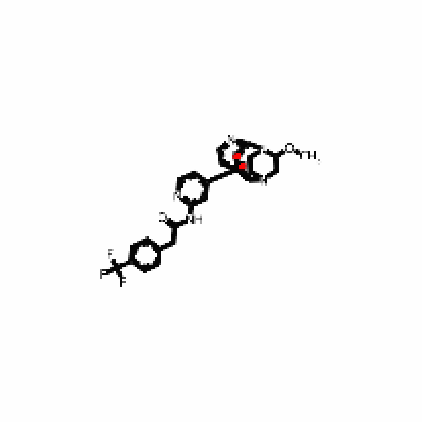 COC1CN2CCN1c1nccc3c2nc(-c2ccnc(NC(=O)Cc4ccc(C(F)(F)F)cc4)c2)nc13